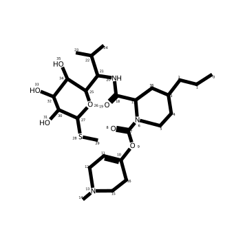 CCCC1CCN(C(=O)OC2=CCN(C)CC2)C(C(=O)NC(C(C)C)C2OC(SC)C(O)C(O)C2O)C1